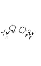 CC(C)(C)Nc1cccc(-c2ccc(OC(F)(F)F)cc2)n1